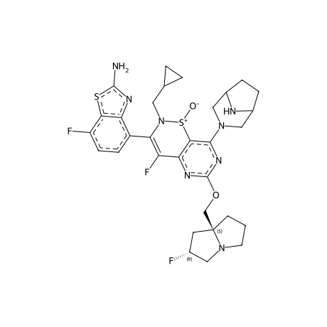 Nc1nc2c(C3=C(F)c4nc(OC[C@@]56CCCN5C[C@H](F)C6)nc(N5CC6CCC(C5)N6)c4[S+]([O-])N3CC3CC3)ccc(F)c2s1